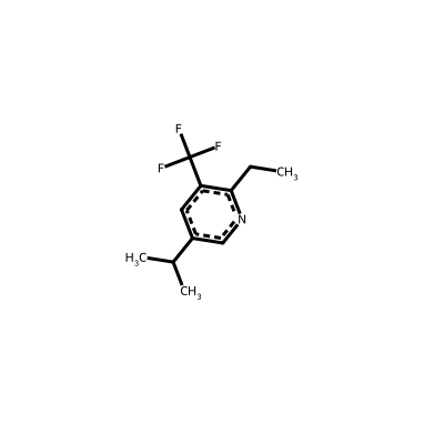 CCc1ncc(C(C)C)cc1C(F)(F)F